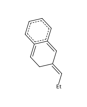 CCC=C1C=c2ccccc2=CC1